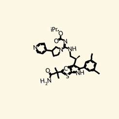 Cc1cc(C)cc(-c2[nH]c3sc(C(C)(C)C(N)=O)cc3c2[C@H](C)CN/C(=N/C(=O)OC(C)C)N2CCC(c3ccncc3)C2)c1